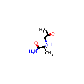 CC(=O)CN[C@@H](C)C(N)=O